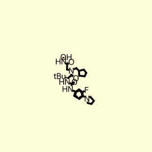 CC(C)(C)[C@H](NC(=O)Nc1ccc(N2CCCC2)c(F)c1)C(=O)N(CC(=O)NO)CC1CCCC1